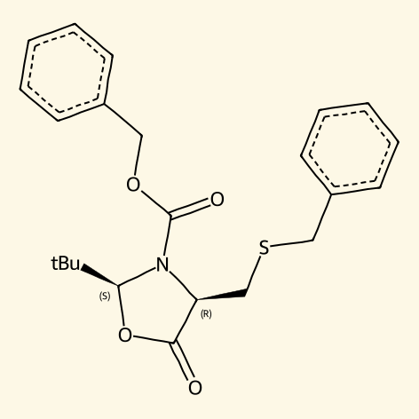 CC(C)(C)[C@@H]1OC(=O)[C@H](CSCc2ccccc2)N1C(=O)OCc1ccccc1